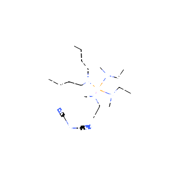 CCCCN(CCCC)[PH](N(C)CC)(N(C)CC)N(C)CC.N#CNC#N